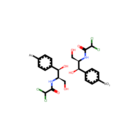 CC(=O)c1ccc([C@@H](O)[C@@H](CO)NC(=O)C(Cl)Cl)cc1.O=C(N[C@H](CO)[C@H](O)c1ccc([N+](=O)[O-])cc1)C(Cl)Cl